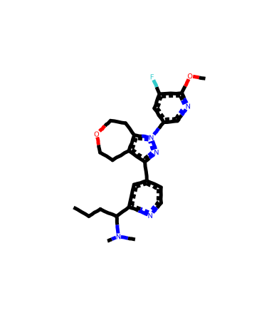 CCCC(c1cc(-c2nn(-c3cnc(OC)c(F)c3)c3c2CCOCC3)ccn1)N(C)C